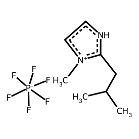 CC(C)Cc1[nH]cc[n+]1C.F[P-](F)(F)(F)(F)F